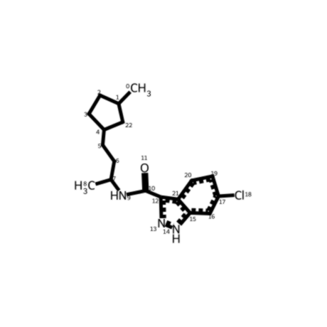 CC1CCC(CCC(C)NC(=O)c2n[nH]c3cc(Cl)ccc23)C1